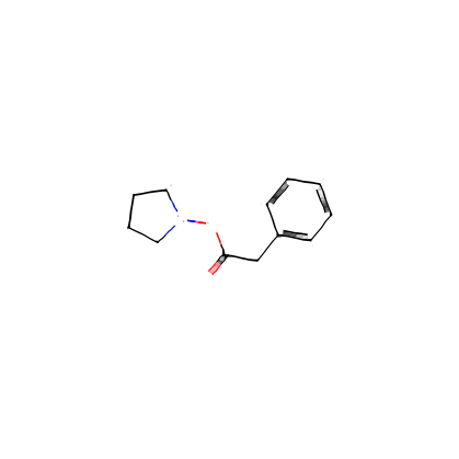 O=C(Cc1ccccc1)ON1CCCC1